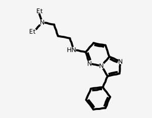 CCN(CC)CCCNc1ccc2ncc(-c3ccccc3)n2n1